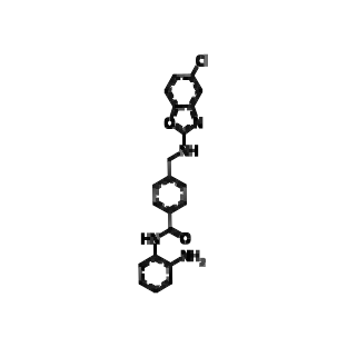 Nc1ccccc1NC(=O)c1ccc(CNc2nc3cc(Cl)ccc3o2)cc1